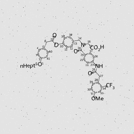 CCCCCCCOc1ccc(CC(=O)Oc2ccc(CN(CC(=O)O)C(=O)c3ccc(NC(=O)Cc4ccc(OC)cc4C(F)(F)F)cc3)cc2)cc1